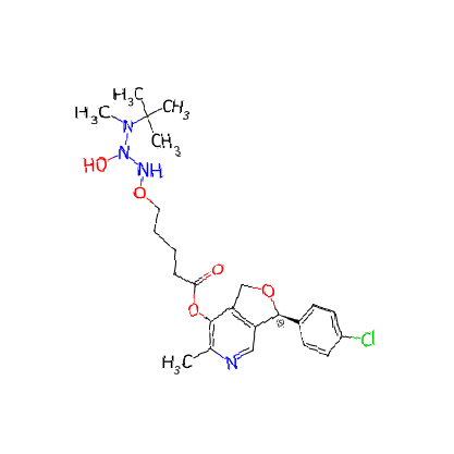 Cc1ncc2c(c1OC(=O)CCCCONN(O)N(C)C(C)(C)C)CO[C@H]2c1ccc(Cl)cc1